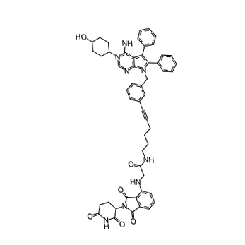 N=c1c2c(-c3ccccc3)c(-c3ccccc3)n(Cc3cccc(C#CCCCCNC(=O)CNc4cccc5c4C(=O)N(C4CCC(=O)NC4=O)C5=O)c3)c2ncn1C1CCC(O)CC1